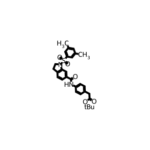 Cc1cc(C)cc(S(=O)(=O)N2CCc3ccc(C(=O)Nc4ccc(CC(=O)OC(C)(C)C)cc4)cc32)c1